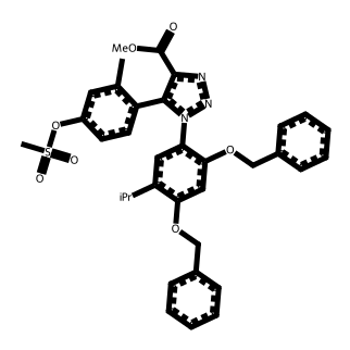 COC(=O)c1nnn(-c2cc(C(C)C)c(OCc3ccccc3)cc2OCc2ccccc2)c1-c1ccc(OS(C)(=O)=O)cc1C